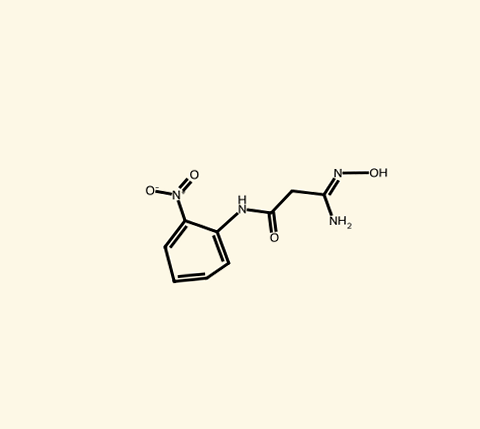 N/C(CC(=O)Nc1ccccc1[N+](=O)[O-])=N\O